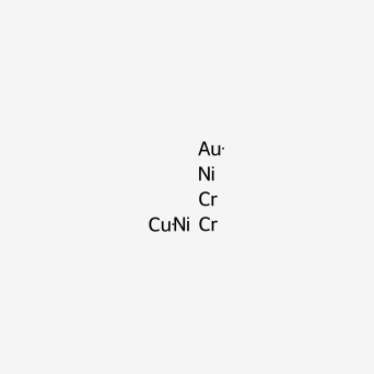 [Au].[Cr].[Cr].[Cu].[Ni].[Ni]